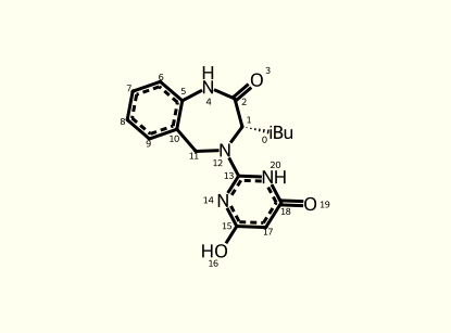 CCC(C)[C@H]1C(=O)Nc2ccccc2CN1c1nc(O)cc(=O)[nH]1